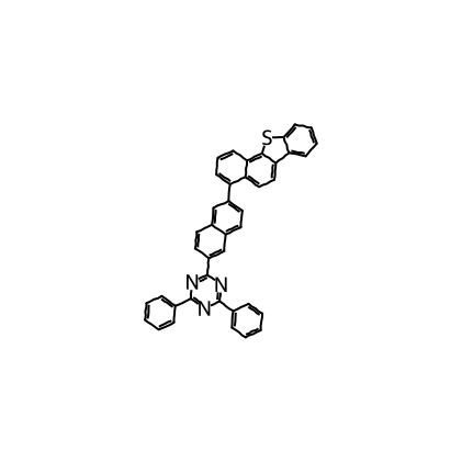 c1ccc(-c2nc(-c3ccccc3)nc(-c3ccc4cc(-c5cccc6c5ccc5c7ccccc7sc65)ccc4c3)n2)cc1